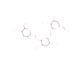 OC[C@H]1O[C@H](OC[C@H]2O[C@H](OC[C@H]3OC(O)[C@H](O)[C@@H](O)[C@@H]3O)[C@H](O)[C@@H](O)[C@@H]2O)[C@H](O)[C@@H](O)[C@@H]1O